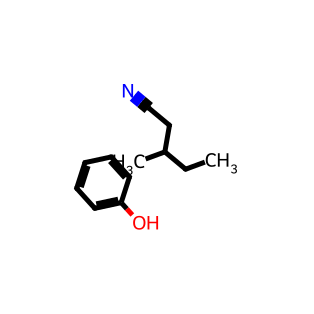 CCC(C)CC#N.Oc1ccccc1